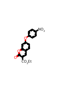 CCOC(=O)c1cc2ccc(Oc3ccc([N+](=O)[O-])cc3)cc2oc1=O